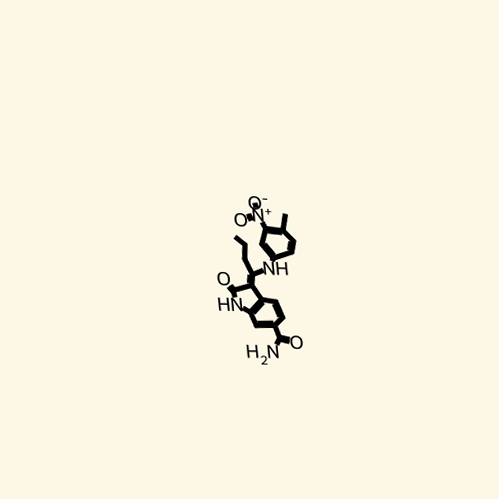 CCCC(Nc1ccc(C)c([N+](=O)[O-])c1)=C1C(=O)Nc2cc(C(N)=O)ccc21